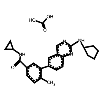 Cc1ccc(C(=O)NC2CC2)cc1-c1ccc2nc(NC3CCCC3)ncc2c1.O=C(O)O